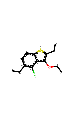 CCOc1c(CC)sc2ccc(CC)c(Cl)c12